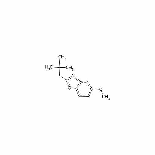 COc1ccc2oc(CC(C)(C)C)nc2c1